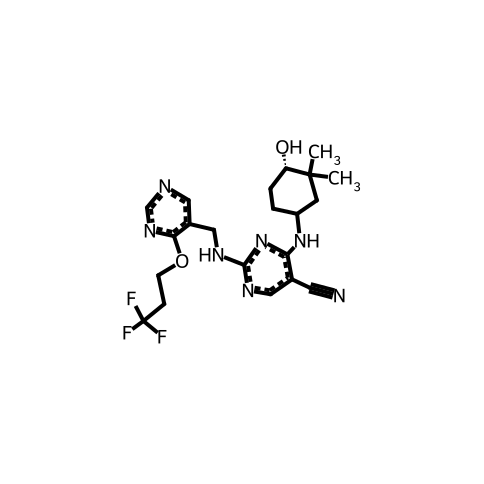 CC1(C)CC(Nc2nc(NCc3cncnc3OCCC(F)(F)F)ncc2C#N)CC[C@@H]1O